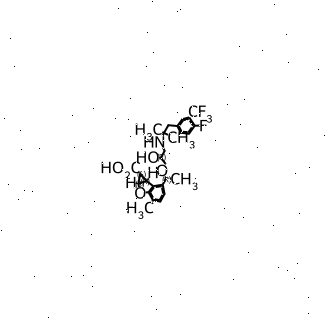 Cc1ccc([C@@H](C)OC[C@H](O)CNC(C)(C)Cc2ccc(F)c(C(F)(F)F)c2)c2c1O[C@@H]1[C@@H](C(=O)O)[C@H]21